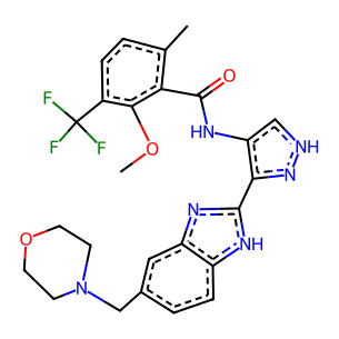 COc1c(C(F)(F)F)ccc(C)c1C(=O)Nc1c[nH]nc1-c1nc2cc(CN3CCOCC3)ccc2[nH]1